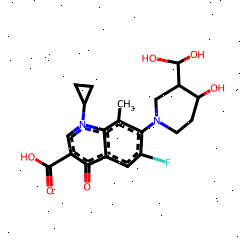 Cc1c(N2CCC(O)C(C(O)O)C2)c(F)cc2c(=O)c(C(=O)O)cn(C3CC3)c12